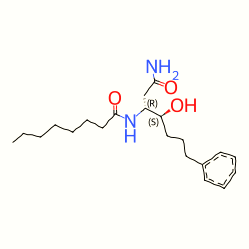 CCCCCCCC(=O)N[C@H](CC(N)=O)[C@@H](O)CCCc1ccccc1